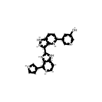 Oc1cncc(-c2ccc3[nH]nc(-c4nc5c(-c6ccoc6)nccc5[nH]4)c3n2)c1